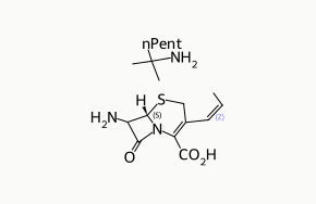 C/C=C\C1=C(C(=O)O)N2C(=O)C(N)[C@@H]2SC1.CCCCCC(C)(C)N